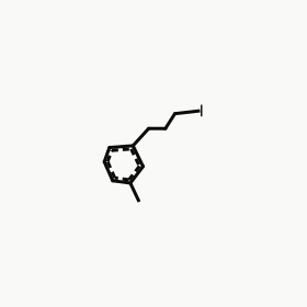 Cc1cccc(CCCI)c1